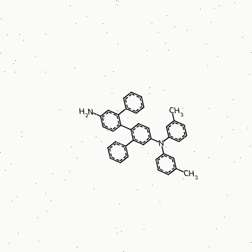 Cc1cccc(N(c2cccc(C)c2)c2ccc(-c3ccc(N)cc3-c3ccccc3)c(-c3ccccc3)c2)c1